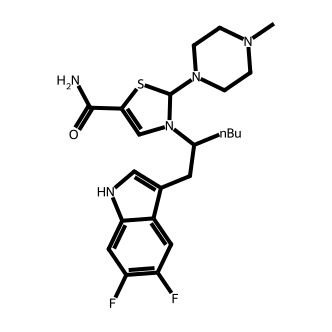 CCCCC(Cc1c[nH]c2cc(F)c(F)cc12)N1C=C(C(N)=O)SC1N1CCN(C)CC1